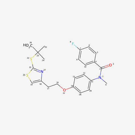 CN(C(=O)c1ccc(F)cc1)c1ccc(OCCc2csc(SC(C)(C)C(=O)O)n2)cc1